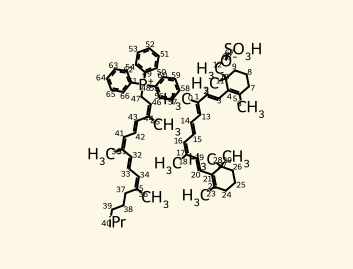 CC(C=CC1=C(C)CCCC1(C)C)=CC=CC=C(C)C=CC1=C(C)CCCC1(C)C.CC(C=CC=C(C)CCCC(C)C)=CC=CC(C)=CC[P+](c1ccccc1)(c1ccccc1)c1ccccc1.O=S(=O)([O-])O